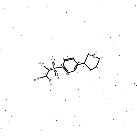 O=S(=O)(c1ccc(C2CCCCC2)cc1)C(F)C(F)F